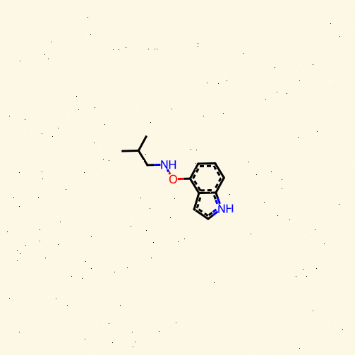 CC(C)CNOc1cccc2[nH]ccc12